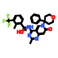 Cc1nc(N[C@H](O)c2cccc(C(F)(F)F)c2C)c2cn(C3(c4ccccc4)CCOCC3)c(=O)cc2n1